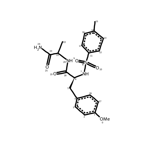 COc1ccc(C[C@H](NS(=O)(=O)c2ccc(C)cc2)C(=O)NC(C)C(N)=O)cc1